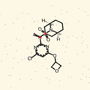 CCS(=O)(=O)N1[C@@H]2CCC[C@H]1C[C@H](N(C)c1nc(Cl)cc(OC3COC3)n1)C2